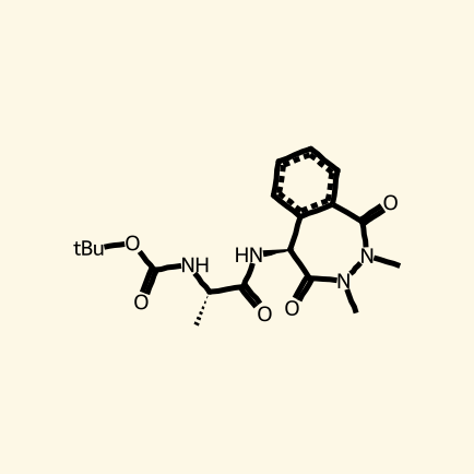 C[C@H](NC(=O)OC(C)(C)C)C(=O)N[C@@H]1C(=O)N(C)N(C)C(=O)c2ccccc21